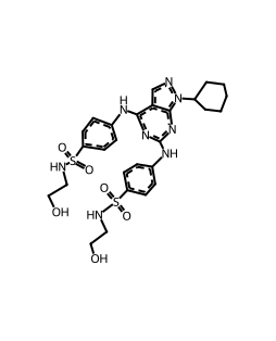 O=S(=O)(NCCO)c1ccc(Nc2nc(Nc3ccc(S(=O)(=O)NCCO)cc3)c3cnn(C4CCCCC4)c3n2)cc1